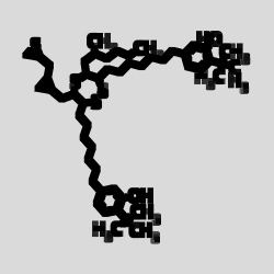 CCCCC(C)CC1SC(CC2CC2CC2CS2)C(CCCCCCCc2ccc(C(C)(C)C)c(O)c2)SSC1CCCCCCCc1ccc(C(C)(C)C)c(O)c1